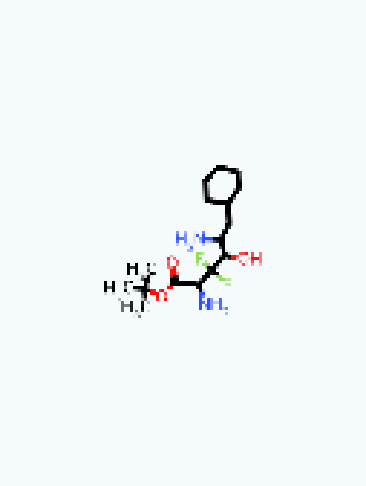 CC(C)(C)OC(=O)C(N)C(F)(F)C(O)C(N)CC1CCCCC1